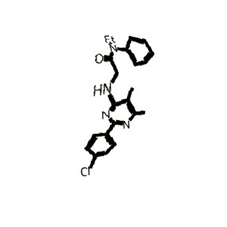 CCN(C(=O)CNc1nc(-c2ccc(Cl)cc2)nc(C)c1C)c1ccccc1